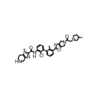 Cc1c(-c2nc3c(o2)CN(C(=O)CN2CC[C@@H](C)C2)C3)cccc1-c1cccc(NC(=O)c2nc3c(n2C)CCNC3)c1Cl